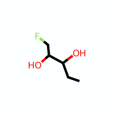 CCC(O)C(O)CF